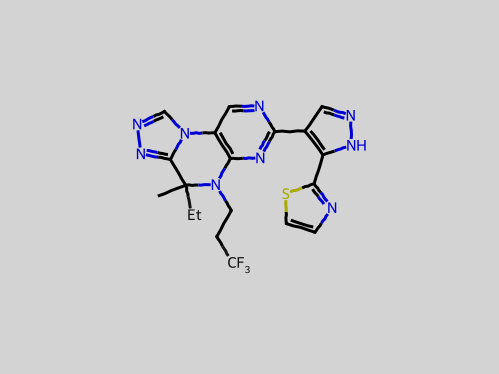 CCC1(C)c2nncn2-c2cnc(-c3cn[nH]c3-c3nccs3)nc2N1CCC(F)(F)F